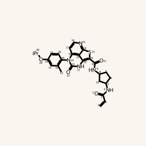 C=CC(=O)NC1CCC(NC(=O)c2sc3nccc4c3c2NC(=O)N4c2ccc(OC(C)C)cc2C)C1